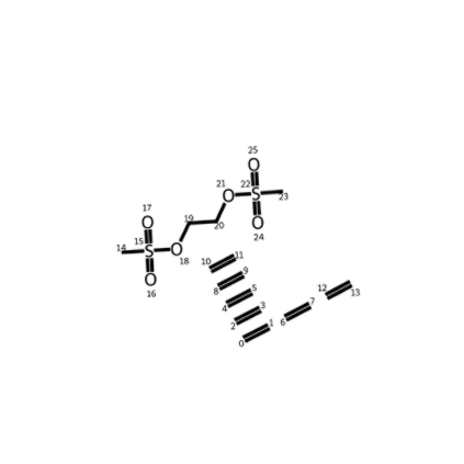 C=C.C=C.C=C.C=C.C=C.C=C.C=C.CS(=O)(=O)OCCOS(C)(=O)=O